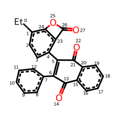 CCc1ccc(C2=C(c3ccccc3)C(=O)c3ccccc3C2=O)c2c1OC2=O